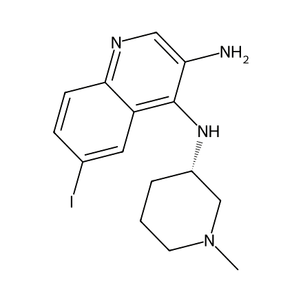 CN1CCC[C@H](Nc2c(N)cnc3ccc(I)cc23)C1